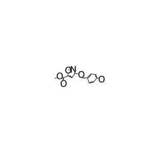 COC(=O)c1cc(OCc2ccc(OC)cc2)no1